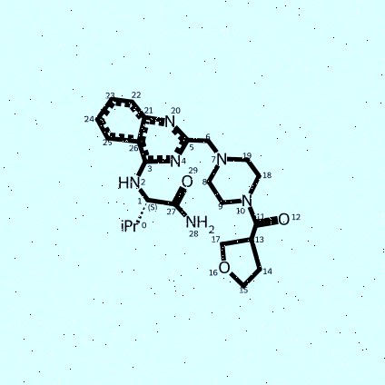 CC(C)[C@H](Nc1nc(CN2CCN(C(=O)C3CCOC3)CC2)nc2ccccc12)C(N)=O